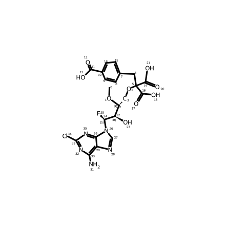 CO[C@H](COC(Cc1ccc(C(=O)O)cc1)(C(=O)O)C(=O)O)[C@@H](O)[C@H](F)n1cnc2c(N)nc(Cl)nc21